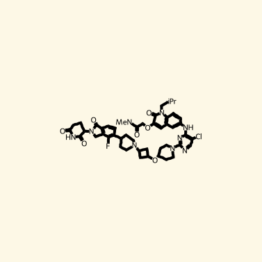 CNC(=O)COc1cc2cc(Nc3nc(N4CCC(OC5CC(N6CCC(c7ccc8c(c7F)CN(C7CCC(=O)NC7=O)C8=O)CC6)C5)CC4)ncc3Cl)ccc2n(CC(C)C)c1=O